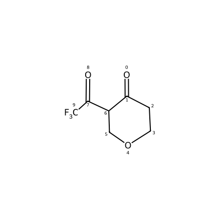 O=C1CCOCC1C(=O)C(F)(F)F